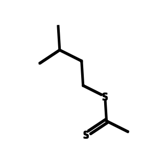 CC(=S)SCCC(C)C